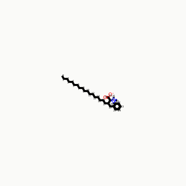 CCCCCCCCCCCCCCCCCCC(Cc1ccccc1)C(C(=O)[O-])[N+](C)(C)C